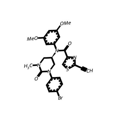 C#Cc1nc(C(=O)N(c2cc(OC)cc(OC)c2)[C@@H]2CN(C)C(=O)N(c3ccc(Br)cc3)C2)cs1